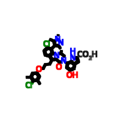 Cc1cc(OCCCc2c3n(c4c(-c5c(C)nn(C)c5C)c(Cl)ccc24)C(C)CN(c2cc(O)cc4cc(C(=O)O)[nH]c24)C3=O)cc(C)c1Cl